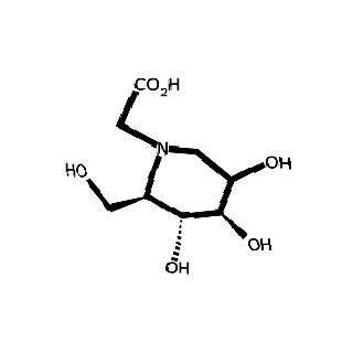 O=C(O)CN1CC(O)[C@@H](O)[C@H](O)[C@H]1CO